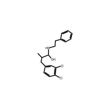 CC(Cc1ccc(Cl)c(Cl)c1)C(O)NCCc1ccccc1